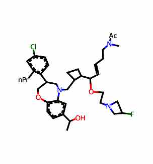 CCCc1cc(Cl)ccc1C1COc2ccc(C(C)O)cc2N(CC2CCC2C(/C=C/CCN(C)C(C)=O)OCCN2CC(F)C2)C1